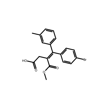 COC(=O)/C(CC(=O)O)=C(\c1ccc(Br)cc1)c1cccc(C)c1